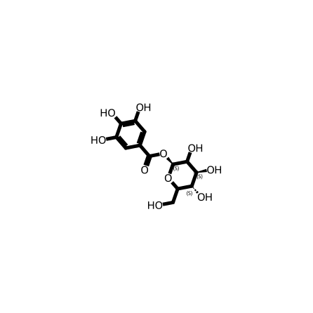 O=C(O[C@@H]1OC(CO)[C@@H](O)[C@H](O)C1O)c1cc(O)c(O)c(O)c1